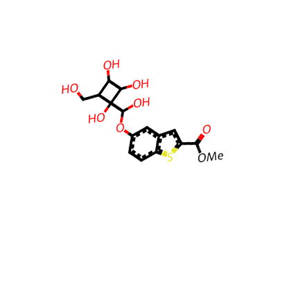 COC(=O)c1cc2cc(OC(O)C3(O)C(O)C(O)C3CO)ccc2s1